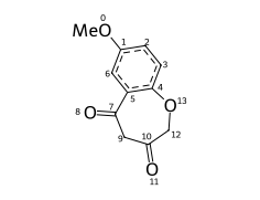 COc1ccc2c(c1)C(=O)CC(=O)CO2